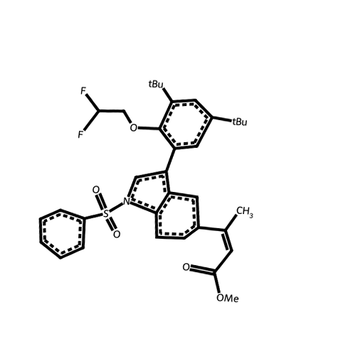 COC(=O)/C=C(/C)c1ccc2c(c1)c(-c1cc(C(C)(C)C)cc(C(C)(C)C)c1OCC(F)F)cn2S(=O)(=O)c1ccccc1